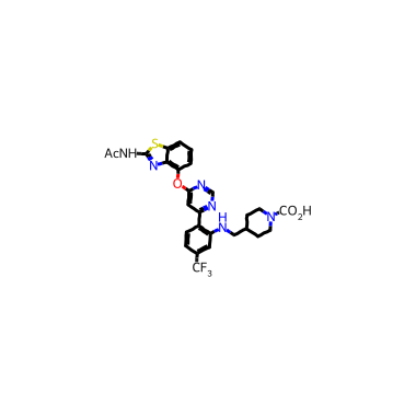 CC(=O)Nc1nc2c(Oc3cc(-c4ccc(C(F)(F)F)cc4NCC4CCN(C(=O)O)CC4)ncn3)cccc2s1